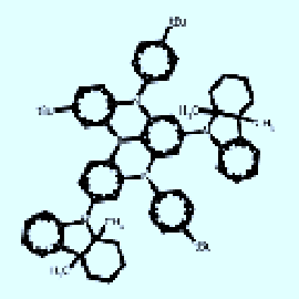 CC(C)(C)c1ccc(N2c3ccc(C(C)(C)C)cc3B3c4ccc(N5c6ccccc6C6(C)CCCCC56C)cc4N(c4ccc(C(C)(C)C)cc4)c4cc(N5c6ccccc6C6(C)CCCCC56C)cc2c43)cc1